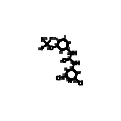 O=C(Nc1cccc(OC(F)(F)F)c1)Nc1cc(Cl)nc(Cl)c1